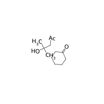 CC(=O)CC(C)(C)O.O=C1CCCCC1